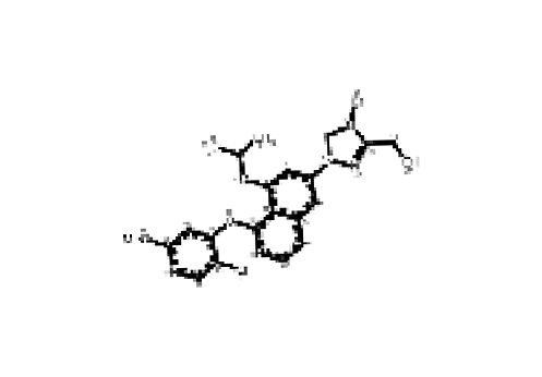 CCN1CN(c2cc(OC(C)C(F)(F)F)c3c(Oc4cc(OC)ncc4Cl)nccc3c2)N=C1CO